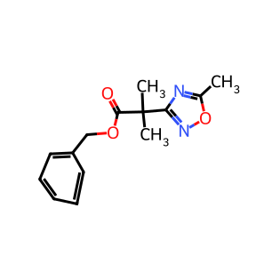 Cc1nc(C(C)(C)C(=O)OCc2ccccc2)no1